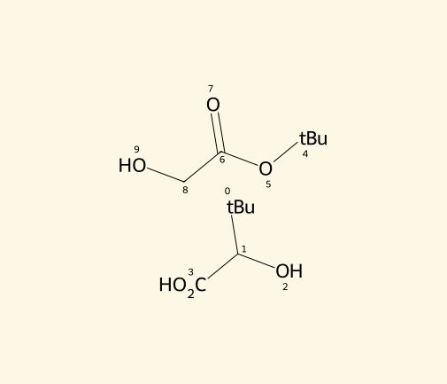 CC(C)(C)C(O)C(=O)O.CC(C)(C)OC(=O)CO